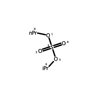 CCCOS(=O)(=O)OC(C)C